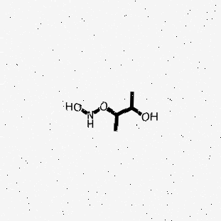 CC(O)C(C)ONO